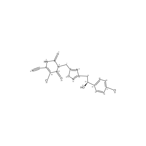 N#Cc1[nH]c(=O)n(Cc2nc(C[C@H](O)c3ccc(Cl)cc3)no2)c(=O)c1Cl